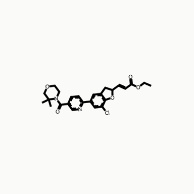 CCOC(=O)/C=C/C1Cc2cc(-c3ccc(C(=O)N4CCOCC4(C)C)cn3)cc(Cl)c2O1